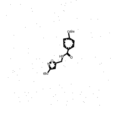 COc1ccc(C(=O)NCc2cc(C(C)(C)C)no2)cc1